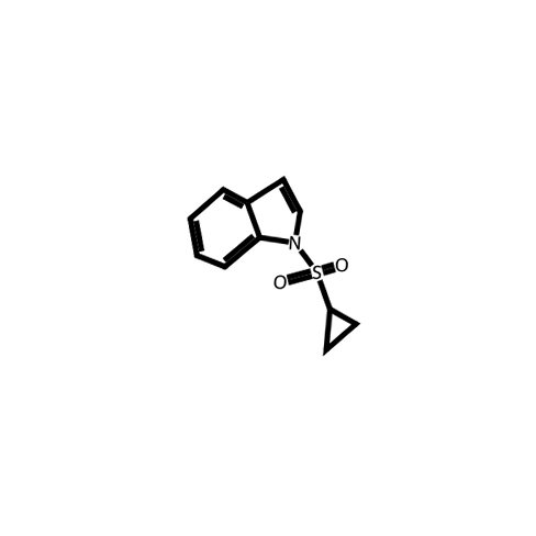 O=S(=O)(C1CC1)n1ccc2ccccc21